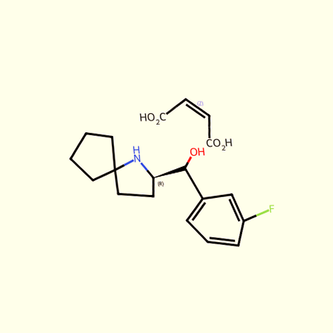 O=C(O)/C=C\C(=O)O.OC(c1cccc(F)c1)[C@H]1CCC2(CCCC2)N1